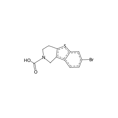 O=C(O)N1CCc2sc3cc(Br)ccc3c2C1